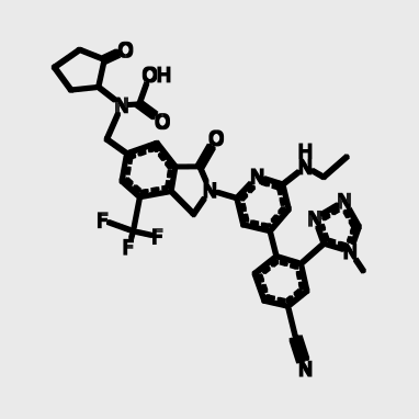 CCNc1cc(-c2ccc(C#N)cc2-c2nncn2C)cc(N2Cc3c(cc(CN(C(=O)O)C4CCCC4=O)cc3C(F)(F)F)C2=O)n1